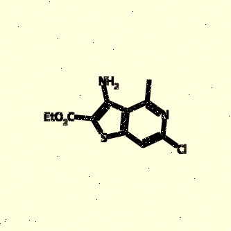 CCOC(=O)c1sc2cc(Cl)nc(C)c2c1N